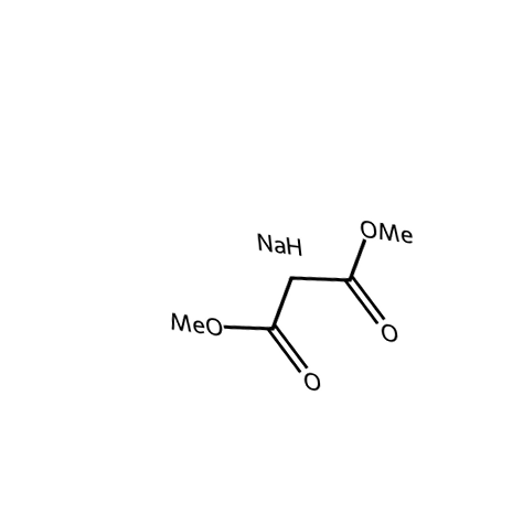 COC(=O)CC(=O)OC.[NaH]